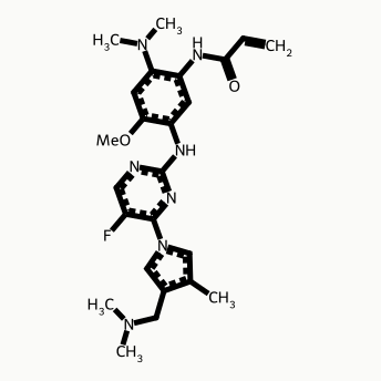 C=CC(=O)Nc1cc(Nc2ncc(F)c(-n3cc(C)c(CN(C)C)c3)n2)c(OC)cc1N(C)C